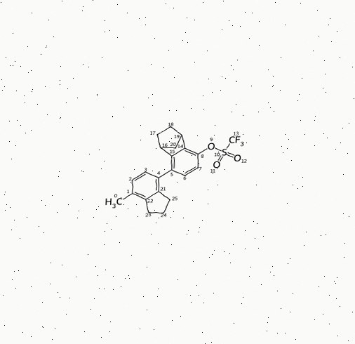 Cc1ccc(-c2ccc(OS(=O)(=O)C(F)(F)F)c3c2C2CCC3C2)c2c1CCC2